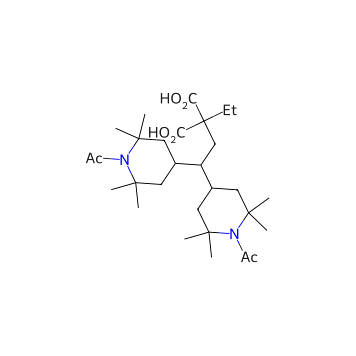 CCC(CC(C1CC(C)(C)N(C(C)=O)C(C)(C)C1)C1CC(C)(C)N(C(C)=O)C(C)(C)C1)(C(=O)O)C(=O)O